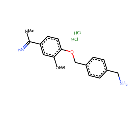 CNC(=N)c1ccc(OCc2ccc(CN)cc2)c(OC)c1.Cl.Cl